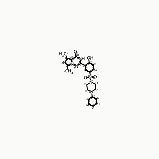 Cc1nc(C)n2nc(-c3cc(S(=O)(=O)N4CCN(c5ccccc5)CC4)ccc3O)[nH]c(=O)c12